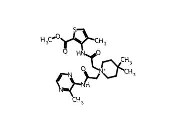 COC(=O)c1scc(C)c1NC(=O)C[N+]1(CC(=O)Nc2nccnc2C)CCC(C)(C)CC1